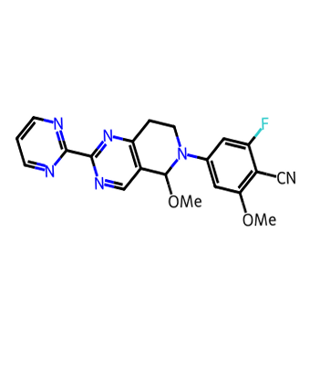 COc1cc(N2CCc3nc(-c4ncccn4)ncc3C2OC)cc(F)c1C#N